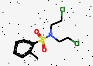 Cc1ccccc1S(=O)(=O)N(CCCl)CCCl